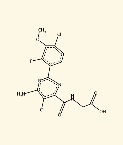 COc1c(Cl)ccc(-c2nc(N)c(Cl)c(C(=O)NCC(=O)O)n2)c1F